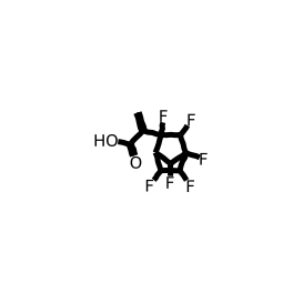 C=C(C(=O)O)C1(F)C2C(F)C(F)C(F)(C2F)C1F